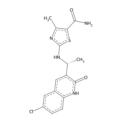 Cc1nc(N[C@H](C)c2cc3cc(Cl)ccc3[nH]c2=O)sc1C(N)=O